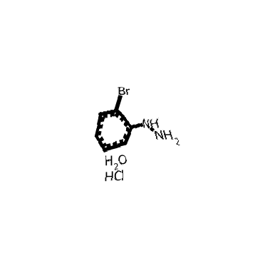 Cl.NNc1ccccc1Br.O